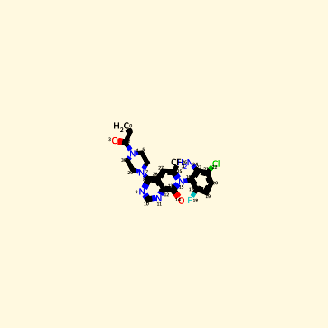 C=CC(=O)N1CCN(c2ncnc3c(=O)n(-c4c(F)ccc(Cl)c4N)c(C(F)(F)F)cc23)CC1